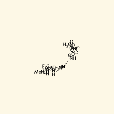 CNC(=O)c1ccccc1Nc1cc(Nc2ccc(N3CCN(CCCCCCNC(=O)COc4cccc5c4C(=O)N(C4CCC(=O)N(C)C4=O)C5=O)CC3)cc2OC)ncc1C(F)(F)F